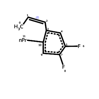 C/C=C\c1cc(F)c(F)cc1CCC